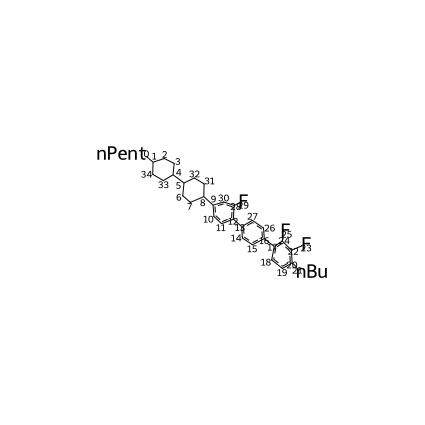 CCCCCC1CCC(C2CCC(c3ccc(-c4ccc(-c5ccc(CCCC)c(F)c5F)cc4)c(F)c3)CC2)CC1